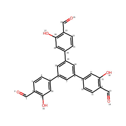 O=Cc1ccc(-c2cc(-c3ccc(C=O)c(O)c3)cc(-c3ccc(C=O)c(O)c3)c2)cc1O